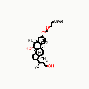 CC[C@H]1[C@@H](O)[C@@H]2[C@H](CC[C@]3(C)[C@@H]([C@H](C)CCO)CC[C@@H]23)C2(C)CC[C@@H](OCOCCOC)C[C@@H]12